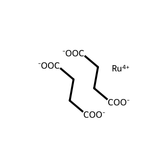 O=C([O-])CCC(=O)[O-].O=C([O-])CCC(=O)[O-].[Ru+4]